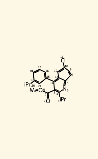 COC(=O)c1c(C(C)C)nc2ccc(Cl)cc2c1-c1cccc(C(C)C)c1